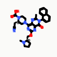 Cc1nc2c(N3CCN(C(=O)O)[C@@H](CC#N)C3)nc(OC[C@@H]3CCCN3C)nc2c(=O)n1-c1cccc2ccccc12